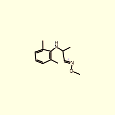 CO/N=C/C(C)Nc1c(C)cccc1C